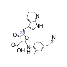 Cc1cc(CC#N)ccc1NC1=C(C(=O)O)C(=O)/C(=C/c2c[nH]c3ncccc23)O1